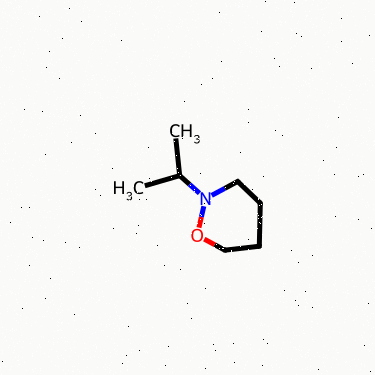 CC(C)N1CCCCO1